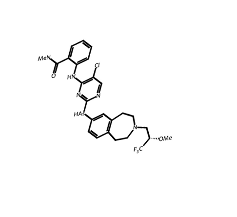 CNC(=O)c1ccccc1Nc1nc([AsH]c2ccc3c(c2)CCN(C[C@H](OC)C(F)(F)F)CC3)ncc1Cl